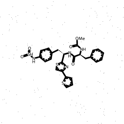 COC(=O)N[C@@H](Cc1ccccc1)C(=O)N[C@@H](Cc1ccc(N[SH](=O)=O)cc1)c1nc(-c2cccs2)cs1